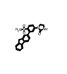 NS(=O)(=O)c1ccc(N2CCNC2=O)cc1-c1ccc2c(c1)Cc1ccccc1-2